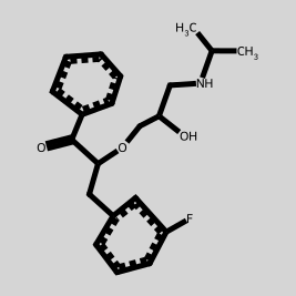 CC(C)NCC(O)COC(Cc1cccc(F)c1)C(=O)c1ccccc1